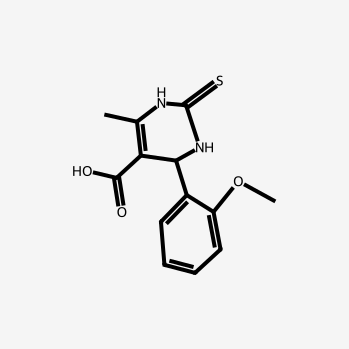 COc1ccccc1C1NC(=S)NC(C)=C1C(=O)O